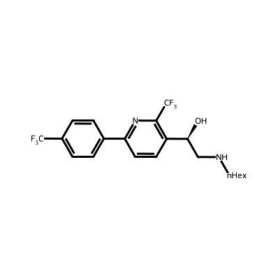 CCCCCCNC[C@H](O)c1ccc(-c2ccc(C(F)(F)F)cc2)nc1C(F)(F)F